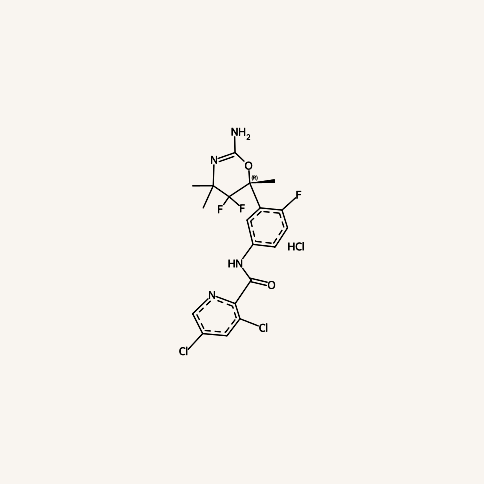 CC1(C)N=C(N)O[C@](C)(c2cc(NC(=O)c3ncc(Cl)cc3Cl)ccc2F)C1(F)F.Cl